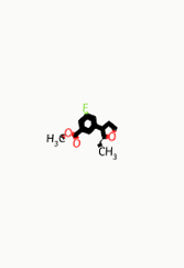 CC[C@H]1OCCC1c1cc(F)cc(C(=O)OC)c1